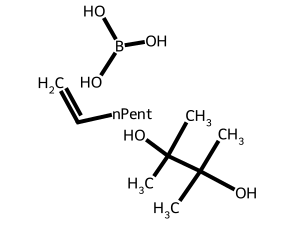 C=CCCCCC.CC(C)(O)C(C)(C)O.OB(O)O